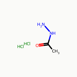 CC(=O)NN.Cl.Cl